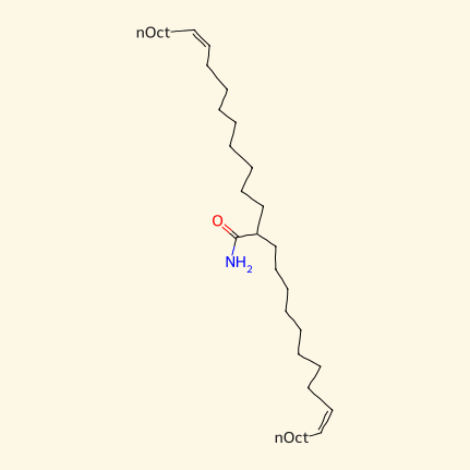 CCCCCCCC/C=C\CCCCCCCCC(CCCCCCCC/C=C\CCCCCCCC)C(N)=O